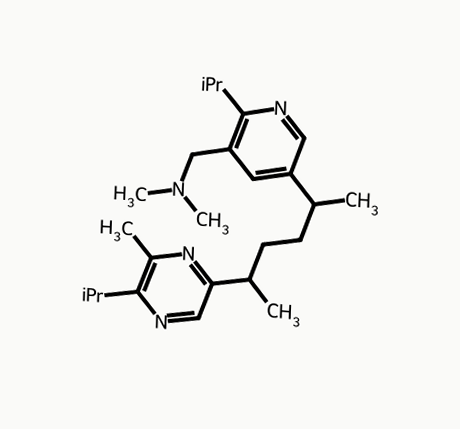 Cc1nc(C(C)CCC(C)c2cnc(C(C)C)c(CN(C)C)c2)cnc1C(C)C